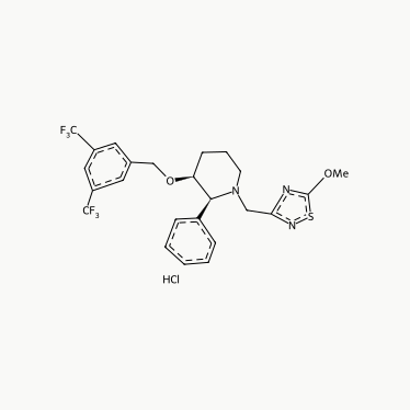 COc1nc(CN2CCC[C@H](OCc3cc(C(F)(F)F)cc(C(F)(F)F)c3)[C@@H]2c2ccccc2)ns1.Cl